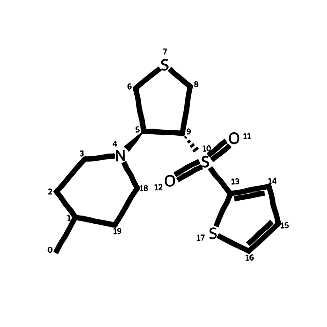 CC1CCN([C@H]2CSC[C@@H]2S(=O)(=O)c2cccs2)CC1